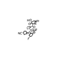 CS(=O)(=O)OC(C(c1ccc(C#N)cc1)c1cccc(F)c1)C1CCCN1C(=O)c1n[nH]cc(O)c1=O